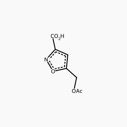 CC(=O)OCc1cc(C(=O)O)no1